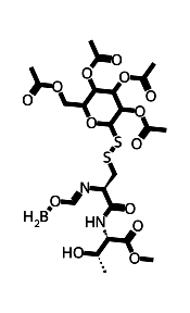 BO/C=N/[C@@H](CSSC1OC(COC(C)=O)C(OC(C)=O)C(OC(C)=O)C1OC(C)=O)C(=O)N[C@H](C(=O)OC)[C@H](C)O